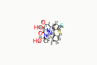 O=C1C=CN2C(C(=O)N([C@H](CO)C(F)(F)F)CN2[C@H]2c3ccccc3CSc3c(F)cccc32)C1O